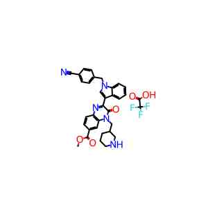 COC(=O)c1ccc2nc(-c3cn(Cc4ccc(C#N)cc4)c4ccccc34)c(=O)n(CC3CCCNC3)c2c1.O=C(O)C(F)(F)F